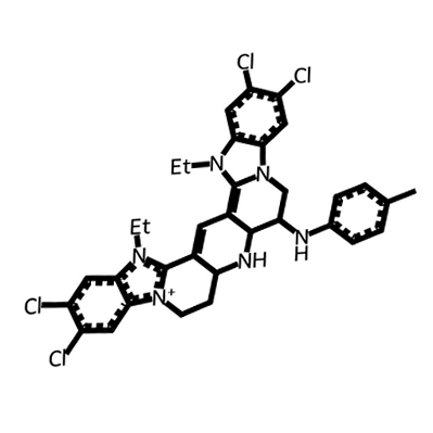 CCN1C2=C3C=C4c5n(CC)c6cc(Cl)c(Cl)cc6[n+]5CCC4NC3C(Nc3ccc(C)cc3)CN2c2cc(Cl)c(Cl)cc21